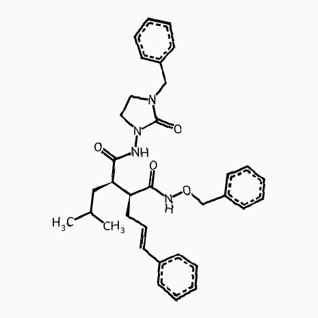 CC(C)C[C@@H](C(=O)NN1CCN(Cc2ccccc2)C1=O)[C@H](C/C=C/c1ccccc1)C(=O)NOCc1ccccc1